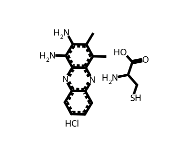 Cc1c(N)c(N)c2nc3ccccc3nc2c1C.Cl.NC(CS)C(=O)O